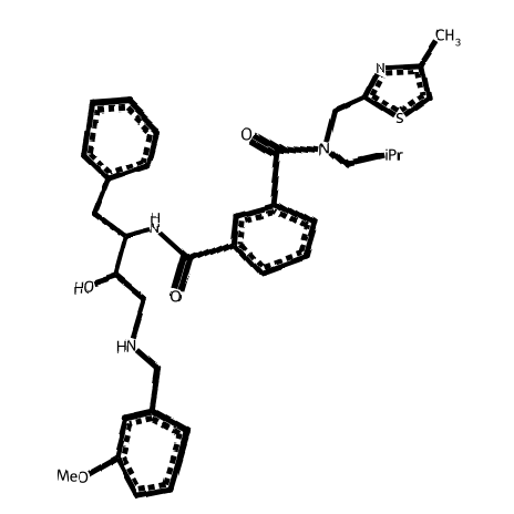 COc1cccc(CNCC(O)C(Cc2ccccc2)NC(=O)c2cccc(C(=O)N(Cc3nc(C)cs3)CC(C)C)c2)c1